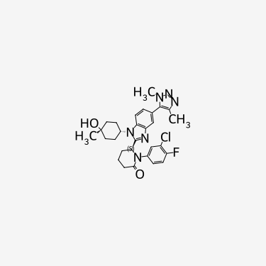 Cc1nnn(C)c1-c1ccc2c(c1)nc([C@@H]1CCCC(=O)N1c1ccc(F)c(Cl)c1)n2[C@H]1CC[C@@](C)(O)CC1